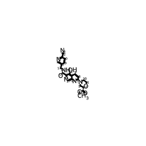 COC(=O)[C@H]1CN(c2ccc3c(O)c(C(=O)NCc4ccc(C#N)nc4)ncc3n2)CCO1